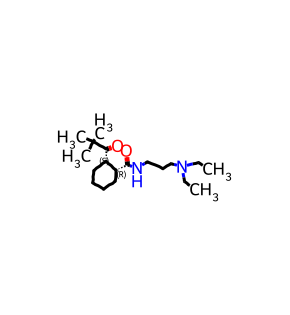 CCN(CC)CCCNC(=O)[C@@H]1CCCC[C@@H]1C(=O)C(C)(C)C